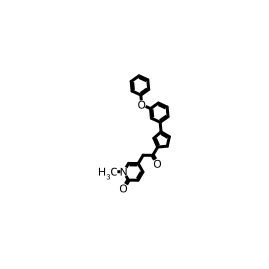 Cn1cc(CC(=O)C2=CC(c3cccc(Oc4ccccc4)c3)=CC2)ccc1=O